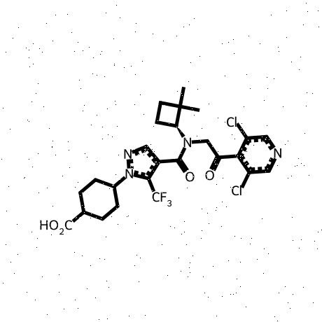 CC1(C)CC[C@@H]1N(CC(=O)c1c(Cl)cncc1Cl)C(=O)c1cnn(C2CCC(C(=O)O)CC2)c1C(F)(F)F